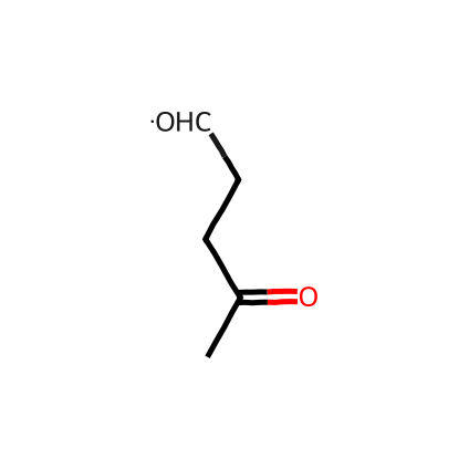 CC(=O)CC[C]=O